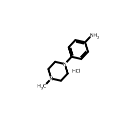 CN1CCN(c2ccc(N)cc2)CC1.Cl